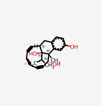 CC(C)[C@]1(O)[C@@H]2C#C/C=C\C#C[C@@H](O)[C@@]1(C)c1cc(O)ccc1C2